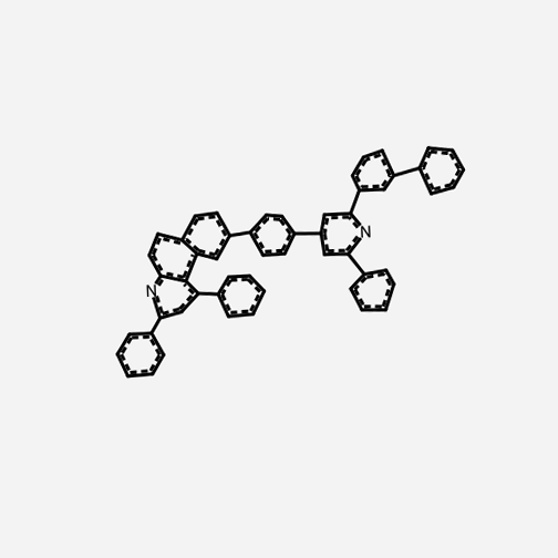 c1ccc(-c2cccc(-c3cc(-c4ccc(-c5ccc6ccc7nc(-c8ccccc8)cc(-c8ccccc8)c7c6c5)cc4)cc(-c4ccccc4)n3)c2)cc1